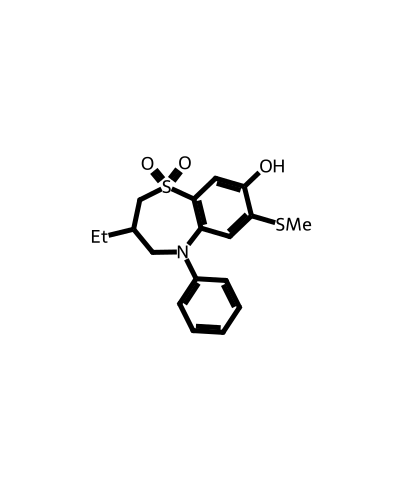 CCC1CN(c2ccccc2)c2cc(SC)c(O)cc2S(=O)(=O)C1